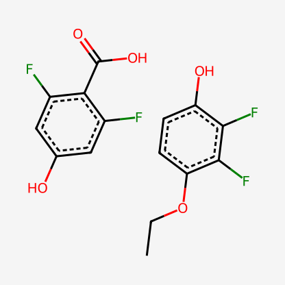 CCOc1ccc(O)c(F)c1F.O=C(O)c1c(F)cc(O)cc1F